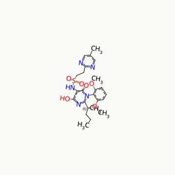 CCC[C@H](C)c1nc(O)c(NS(=O)(=O)CCc2ncc(C)cn2)c(=O)n1-c1c(OC)cccc1OC